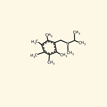 Cc1c(C)c(C)c(CN(C)C(C)C)c(C)c1C